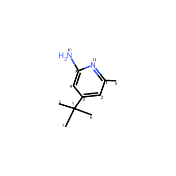 Cc1cc(C(C)(C)C)cc(N)n1